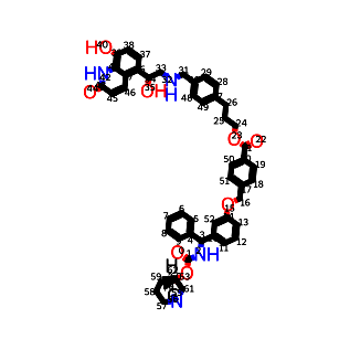 O=C(NC(c1ccccc1)c1cccc(OCc2ccc(C(=O)OCCCc3ccc(CNCC(O)c4ccc(O)c5[nH]c(=O)ccc45)cc3)cc2)c1)O[C@H]1CN2CCC1CC2